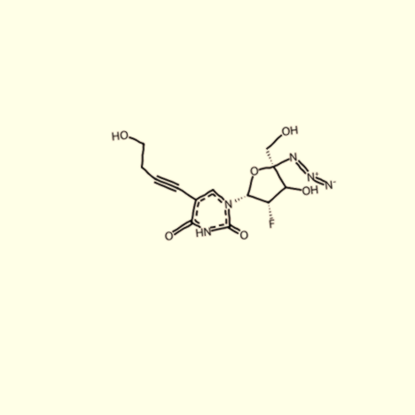 [N-]=[N+]=N[C@]1(CO)O[C@@H](n2cc(C#CCCO)c(=O)[nH]c2=O)[C@@H](F)C1O